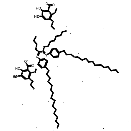 CCCCCCCCCCCCCCCCc1ccc(N=C(CCCC)C(CCCCCCCC)=Nc2ccc(CCCCCCCCCCCCCCCC)cc2)cc1.CCCc1cc(O)c(O)c(C(=O)[O-])c1CC.CCCc1cc(O)c(O)c(C(=O)[O-])c1CC.[Pd+2]